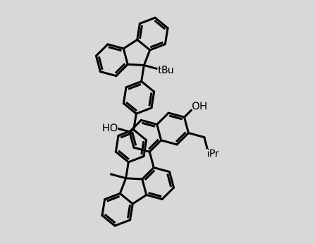 CC(C)Cc1cc2c(-c3cccc4c3C(C)(c3ccc(-c5ccc(C6(C(C)(C)C)c7ccccc7-c7ccccc76)cc5)cc3)c3ccccc3-4)cc(O)cc2cc1O